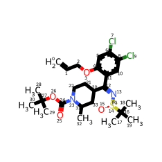 C=CCOc1cc(Cl)c(Cl)cc1C(=N[S@@+]([O-])C(C)(C)C)C1CCN(C(=O)OC(C)(C)C)C(C)C1